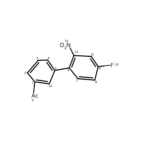 CC(=O)c1cccc(-c2ccc(F)cc2[N+](=O)[O-])c1